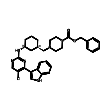 O=C(OCc1ccccc1)N1CCN(C[C@H]2CCC[C@@H](Nc3ncc(Cl)c(-c4c[nH]c5ccccc45)n3)C2)CC1